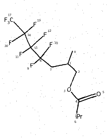 CC(COC(=O)C(C)C)CC(F)(F)C(F)(F)C(F)(F)C(F)(F)F